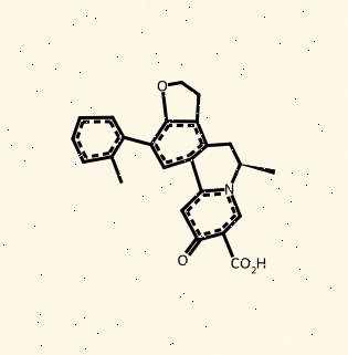 Cc1ccccc1-c1cc2c(c3c1OCC3)C[C@@H](C)n1cc(C(=O)O)c(=O)cc1-2